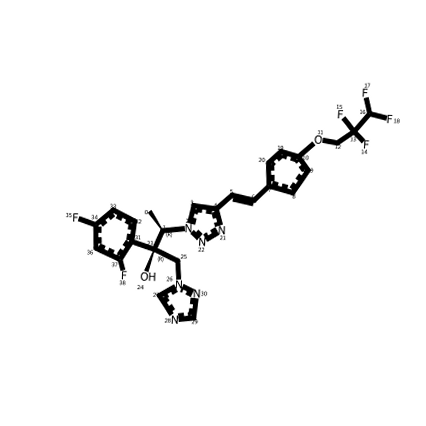 C[C@@H](n1cc(C=Cc2ccc(OCC(F)(F)C(F)F)cc2)nn1)[C@](O)(Cn1cncn1)c1ccc(F)cc1F